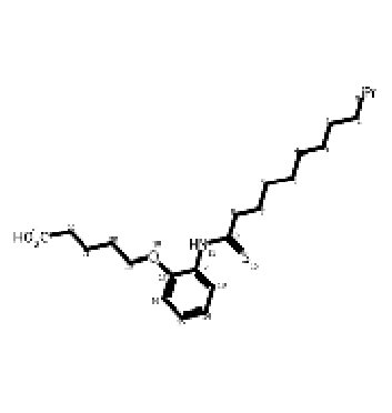 CC(C)CCCCCCCCC(=S)Nc1ccccc1OCCCCC(=O)O